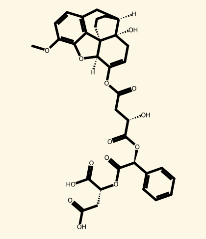 COc1ccc2c3c1O[C@@H]1C(OC(=O)C[C@H](O)C(=O)O[C@H](C(=O)O[C@H](CC(=O)O)C(=O)O)c4ccccc4)=CC[C@]4(O)[C@@H](CCC[C@@]314)C2